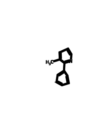 Cc1cccnc1-c1c[c]ccc1